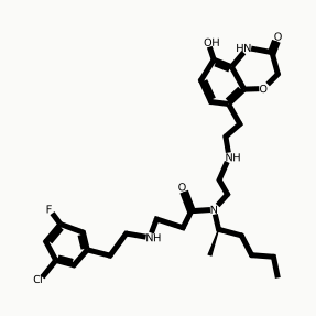 CCCC[C@@H](C)N(CCNCCc1ccc(O)c2c1OCC(=O)N2)C(=O)CCNCCc1cc(F)cc(Cl)c1